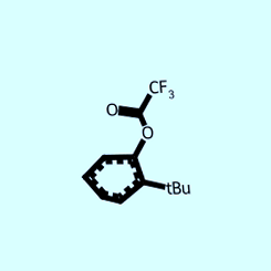 CC(C)(C)c1ccccc1OC(=O)C(F)(F)F